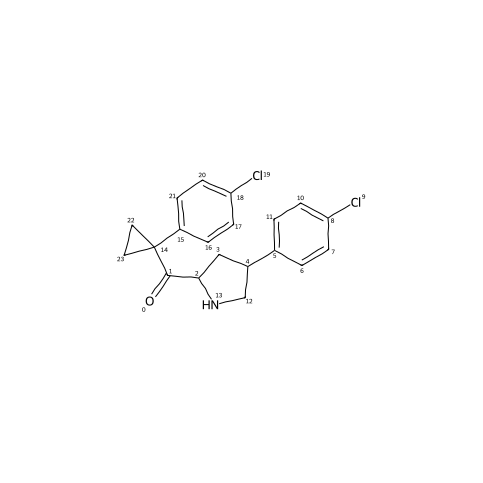 O=C(C1CC(c2ccc(Cl)cc2)CN1)C1(c2ccc(Cl)cc2)CC1